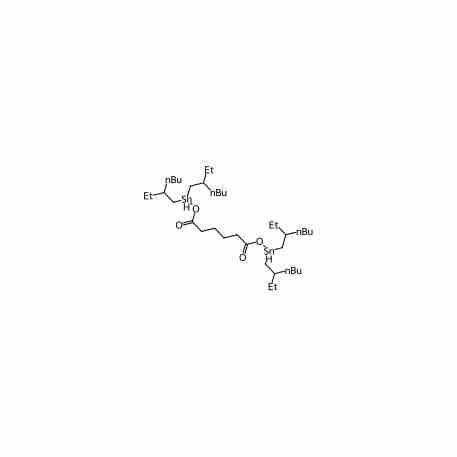 CCCCC(CC)[CH2][SnH]([CH2]C(CC)CCCC)[O]C(=O)CCCCC(=O)[O][SnH]([CH2]C(CC)CCCC)[CH2]C(CC)CCCC